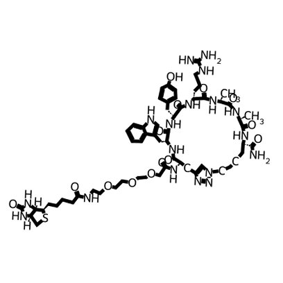 C[C@H]1NC(=O)[C@@H](C)NC(=O)[C@@H](CCCNC(=N)N)NC(=O)[C@@H](Cc2ccc(O)cc2)NC(=O)[C@@H](Cc2c[nH]c3ccccc23)NC(=O)[C@@H](NC(=O)COCCOCCOCCNC(=O)CCCC[C@H]2SC[C@H]3NC(=O)N[C@H]32)Cc2cn(nn2)CCCC[C@@H](C(N)=O)NC1=O